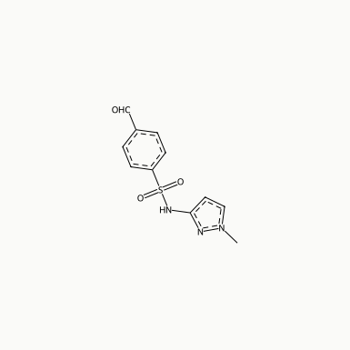 Cn1ccc(NS(=O)(=O)c2ccc(C=O)cc2)n1